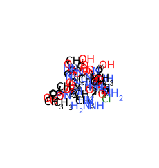 COc1ccc(C[C@H](NC(=O)[C@H](C)NC(=O)[C@H](CC(C)C)NC(=O)c2oc3c(OC)c(OC)ccc3c2C)C(=O)N2CCC[C@H]2C(=O)N[C@@H](CC(=O)O)C(=O)N[C@@H](C)C(=O)N[C@H](C(=O)N2C[C@H](O)C[C@H]2C(=O)N[C@@H](Cc2ccc(Cl)cc2)C(=O)N[C@@H](CCCNC(=N)N)C(=O)N2CCC[C@H]2C(=O)NCC(N)=O)C(C)C)cc1